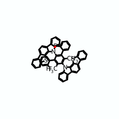 Cc1c(-c2ccccc2F)c(-n2c3ccccc3c3ccc4c5ccccc5sc4c32)c(-c2ccccc2F)c(C)c1-n1c2ccccc2c2ccc3c4ccccc4sc3c21